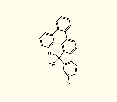 CC1(C)c2cc(Br)ccc2-c2ncc(-c3ccccc3-c3ccccc3)cc21